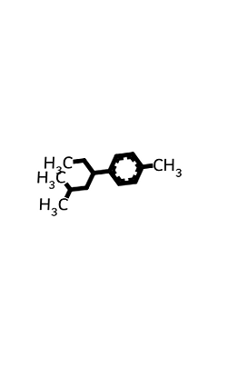 CCC(CC(C)C)c1ccc(C)cc1